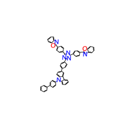 c1ccc(-c2ccc(-n3c4ccccc4c4cc(-c5ccc(-c6nc(-c7ccc(-c8nc9ccccc9o8)cc7)nc(-c7ccc(-c8nc9ccccc9o8)cc7)n6)cc5)ccc43)cc2)cc1